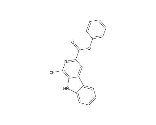 O=C(Oc1ccccc1)c1cc2c([nH]c3ccccc32)c(Cl)n1